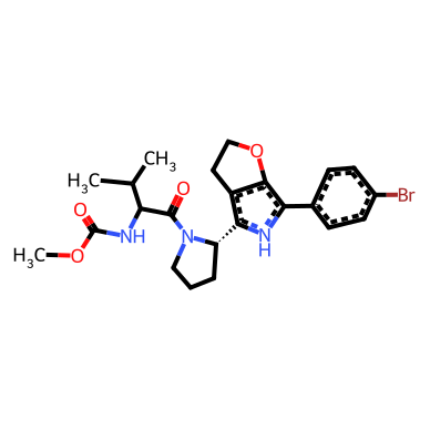 COC(=O)NC(C(=O)N1CCC[C@H]1c1[nH]c(-c2ccc(Br)cc2)c2c1CCO2)C(C)C